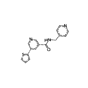 O=C(NCc1ccncc1)c1cncc(-c2cccs2)c1